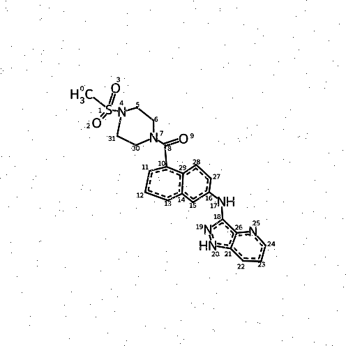 CS(=O)(=O)N1CCN(C(=O)c2cccc3cc(Nc4n[nH]c5cccnc45)ccc23)CC1